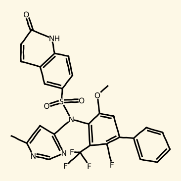 COc1cc(-c2ccccc2)c(F)c(C(F)(F)F)c1N(c1cc(C)ncn1)S(=O)(=O)c1ccc2[nH]c(=O)ccc2c1